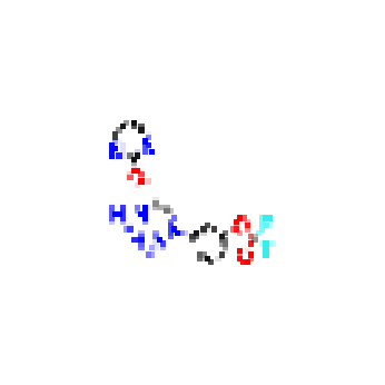 N/C(=C\N(N)c1ccc2c(c1)OC(F)(F)O2)COc1ncccn1